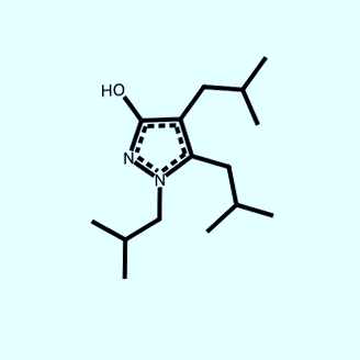 CC(C)Cc1c(O)nn(CC(C)C)c1CC(C)C